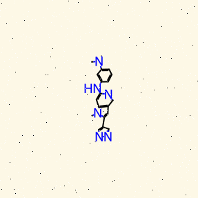 CN(C)c1cccc(Nc2cc3c(cn2)cc(-c2cnn(C)c2)n3C)c1